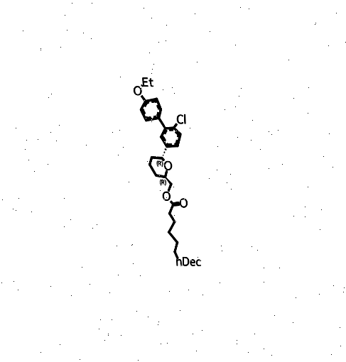 CCCCCCCCCCCCCCCC(=O)OC[C@H]1CCC[C@H](c2ccc(Cl)c(-c3ccc(OCC)cc3)c2)O1